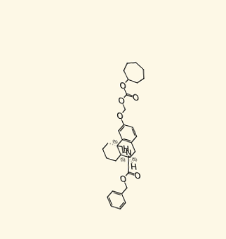 O=C(OCOc1ccc2c(c1)[C@]13CCCC[C@@H]1[C@H](C2)N(C(=O)OCc1ccccc1)CC3)OC1CCCCCC1